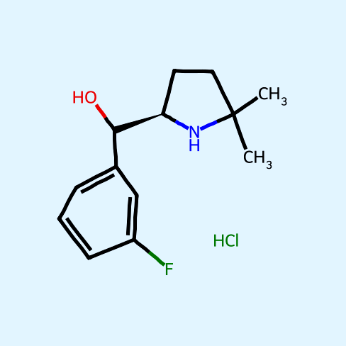 CC1(C)CC[C@H](C(O)c2cccc(F)c2)N1.Cl